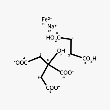 O=C(O)CCC(=O)O.O=C([O-])CC(O)(CC(=O)[O-])C(=O)[O-].[Fe+2].[Na+]